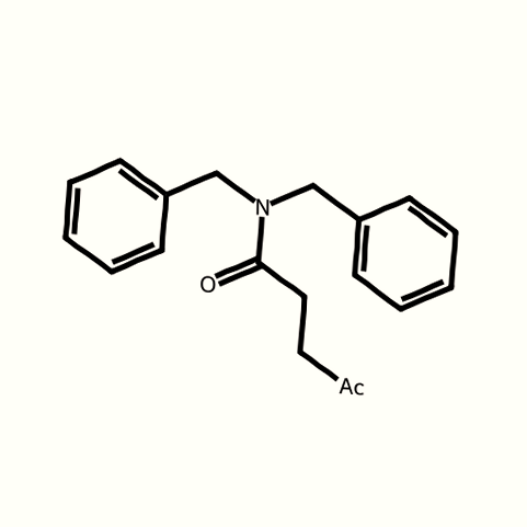 CC(=O)CCC(=O)N(Cc1ccccc1)Cc1ccccc1